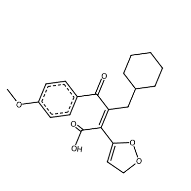 COc1ccc(C(=O)C(CC2CCCCC2)=C(C(=O)O)C2=CCOO2)cc1